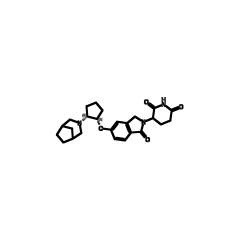 O=C1CCC(N2Cc3cc(O[C@H]4CCC[C@H]4N4CC5CCC(C5)C4)ccc3C2=O)C(=O)N1